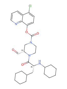 O=C[C@@H]1CN(C(=O)Oc2ccc(Cl)c3cccnc23)CCN1C(=O)[C@@H](CC1CCCCC1)NC1CCCCC1